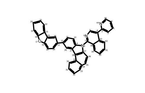 c1ccc(-c2cnc(-n3c4ccc(-c5ccc6oc7ccccc7c6c5)cc4c4c5ccccc5ccc43)c3ccccc23)nc1